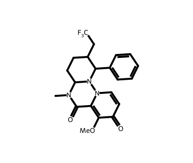 COc1c2n(ccc1=O)N1C(c3ccccc3)C(CC(F)(F)F)CCC1N(C)C2=O